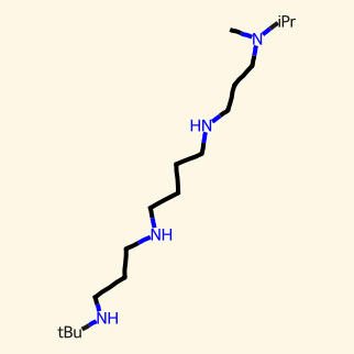 CC(C)N(C)CCCNCCCCNCCCNC(C)(C)C